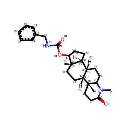 CN1C(=O)CC[C@@]2(C)C1CC[C@@H]1[C@H]2CC[C@]2(C)C(OC(=O)NCc3ccccc3)CC[C@@H]12